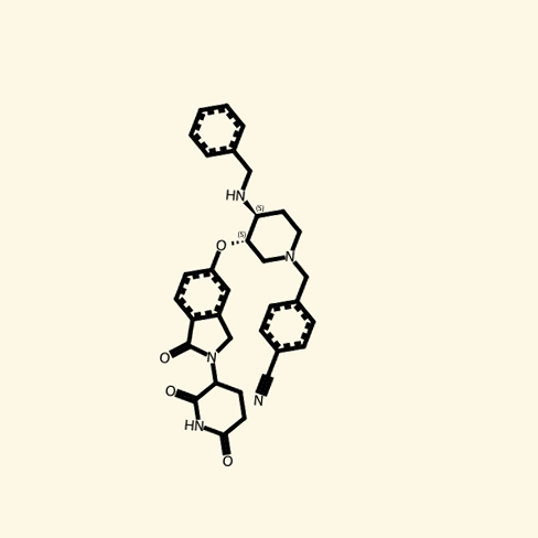 N#Cc1ccc(CN2CC[C@H](NCc3ccccc3)[C@@H](Oc3ccc4c(c3)CN(C3CCC(=O)NC3=O)C4=O)C2)cc1